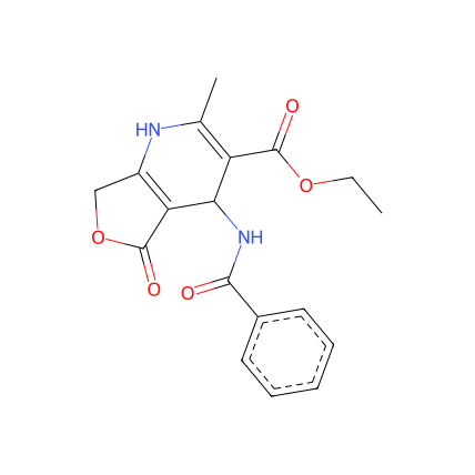 CCOC(=O)C1=C(C)NC2=C(C(=O)OC2)C1NC(=O)c1ccccc1